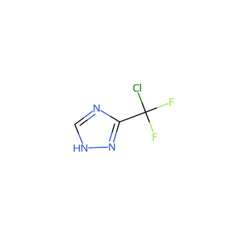 FC(F)(Cl)c1nc[nH]n1